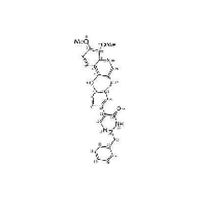 COc1ccc2c(Oc3ccc(-c4cnc(Cc5ccccc5)[nH]c4=O)cc3F)ccnc2c1OC